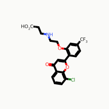 O=C(O)CCNCCOc1cc(C(F)(F)F)ccc1-c1cc(=O)c2cccc(Cl)c2o1